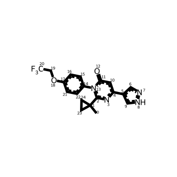 CC1(c2nc(-c3cn[nH]c3)cc(=O)n2-c2ccc(OCC(F)(F)F)cc2)CC1